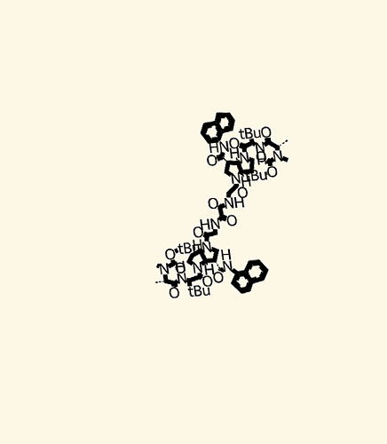 C[C@@H](C(=O)NC(C(=O)N1CC[C@@H]2[C@H]1[C@@H](C(=O)Nc1cccc3ccccc13)CN2C(=O)CNC(=O)C(=O)NCC(=O)N1C[C@H](C(=O)Nc2cccc3ccccc23)[C@@H]2[C@H]1CCN2C(=O)C(NC(=O)[C@H](C)N(C)C(=O)OC(C)(C)C)C(C)(C)C)C(C)(C)C)N(C)C(=O)OC(C)(C)C